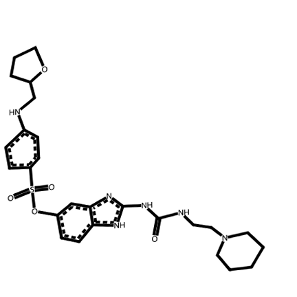 O=C(NCCN1CCCCC1)Nc1nc2cc(OS(=O)(=O)c3ccc(NCC4CCCO4)cc3)ccc2[nH]1